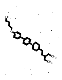 CCCCCOc1ccc(-c2ccc(C3=CCC(CCC(CC)CC)CC3)cc2)cc1